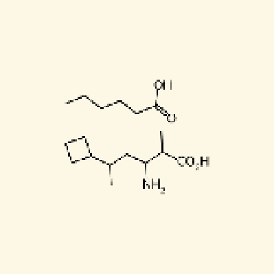 CC(CC(N)C(C)C(=O)O)C1CCC1.CCCCCC(=O)O